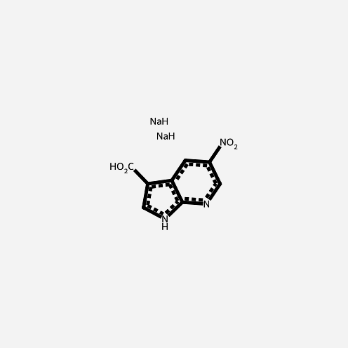 O=C(O)c1c[nH]c2ncc([N+](=O)[O-])cc12.[NaH].[NaH]